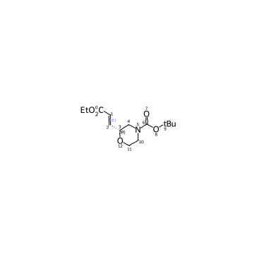 CCOC(=O)/C=C/[C@@H]1CN(C(=O)OC(C)(C)C)CCO1